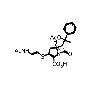 CC(=O)NC=CSC1=C(C(=O)O)N2C(=O)[C@@H]([C@](C)(OC(C)=O)c3ccccc3)[C@H]2C1